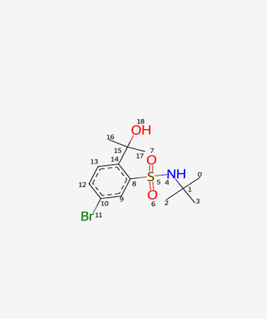 CC(C)(C)NS(=O)(=O)c1cc(Br)ccc1C(C)(C)O